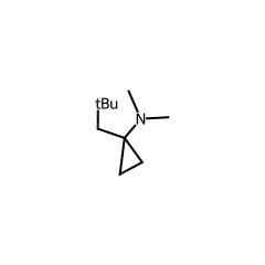 CN(C)C1(CC(C)(C)C)CC1